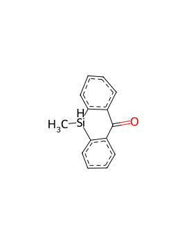 C[SiH]1c2ccccc2C(=O)c2ccccc21